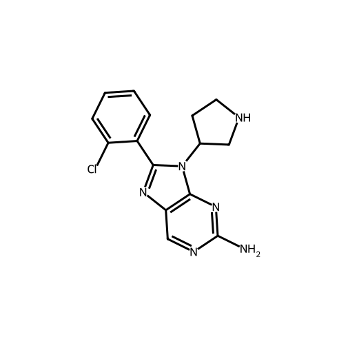 Nc1ncc2nc(-c3ccccc3Cl)n(C3CCNC3)c2n1